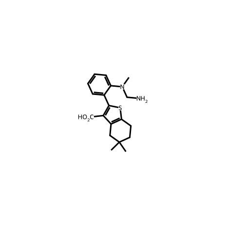 CN(CN)c1ccccc1-c1sc2c(c1C(=O)O)CC(C)(C)CC2